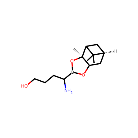 CC1(C)C2C[C@H]1CC1OB(C(N)CCCO)O[C@]12C